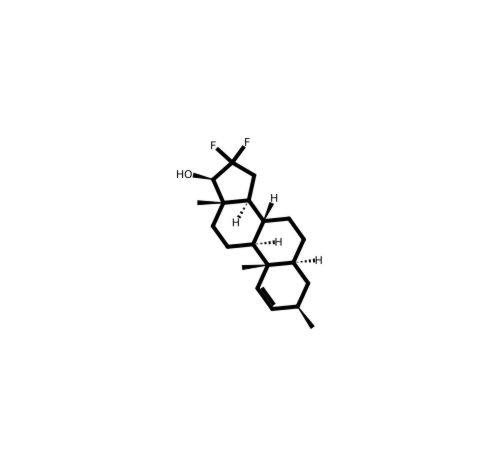 C[C@H]1C=C[C@@]2(C)[C@@H](CC[C@@H]3[C@@H]2CC[C@@]2(C)[C@H]3CC(F)(F)[C@@H]2O)C1